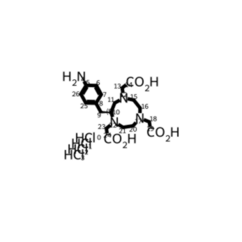 Cl.Cl.Cl.Cl.Nc1ccc(C[C@H]2CN(CC(=O)O)CCN(CC(=O)O)CCN2CC(=O)O)cc1